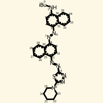 CCC(C)Nc1ccc(/N=N/c2ccc(/N=N/c3nnc(N4CCCCC4)s3)c3ccccc23)c2ccccc12